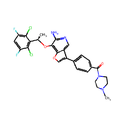 C[C@@H](Oc1c(N)ncc2c(-c3ccc(C(=O)N4CCN(C)CC4)cc3)coc12)c1c(Cl)c(F)cc(F)c1Cl